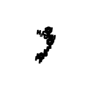 Cc1ccncc1C(=O)Nc1ccc(CC/C=N/Oc2cnc(F)c(F)c2)cn1